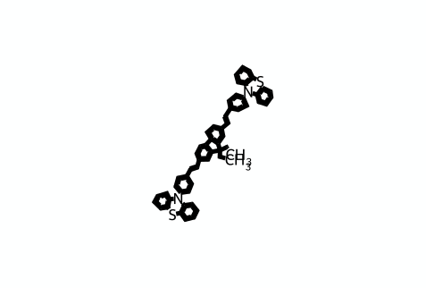 CCC1(CC)c2cc(/C=C/c3ccc(N4c5ccccc5Sc5ccccc54)cc3)ccc2-c2ccc(/C=C/c3ccc(N4c5ccccc5Sc5ccccc54)cc3)cc21